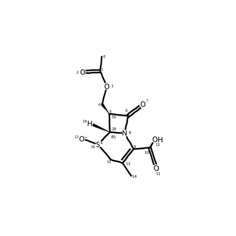 CC(=O)OC[C@H]1C(=O)N2C(C(=O)O)=C(C)C[S+]([O-])[C@H]12